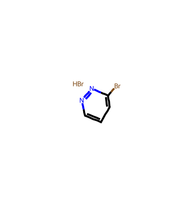 Br.Brc1cccnn1